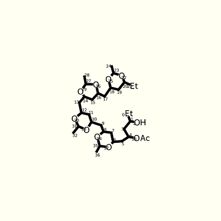 CCC(O)CC(CC1CC(CC2CC(CC3CC(CC4CC(CC)OC(C)O4)OC(C)O3)OC(C)O2)OC(C)O1)OC(C)=O